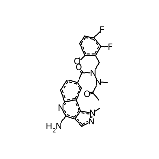 CC(=O)N(C)N(Cc1c(Cl)ccc(F)c1F)C(=O)c1ccc2nc(N)c3cnn(C)c3c2c1